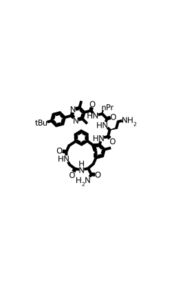 CCC[C@H](NC(=O)c1c(C)nc(-c2ccc(C(C)(C)C)cc2)nc1C)C(=O)N[C@@H](CCN)C(=O)Nc1c(C)cc2cc1-c1cccc(c1)CC(=O)NCC(=O)NC(C(N)=O)C2